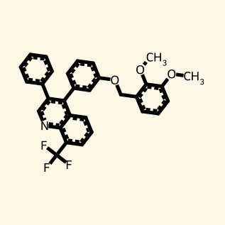 COc1cccc(COc2cccc(-c3c(-c4ccccc4)cnc4c(C(F)(F)F)cccc34)c2)c1OC